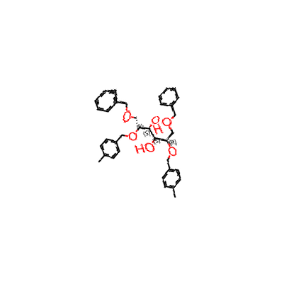 Cc1ccc(CO[C@H](COCc2ccccc2)[C@@H](O)[C@H](O)[C@@H](COCc2ccccc2)OCc2ccc(C)cc2)cc1